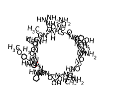 CCCC[C@H]1C(=O)N(C)[C@@H](CCCC)C(=O)NC(CCCNC(=N)N)C(=O)N[C@H](C(=O)NCC(N)=O)CSCC(=O)N[C@@H](Cc2ccc(O)cc2)C(=O)N(C)[C@@H](C)C(=O)N[C@@H](CC(N)=O)C(=O)N2CCCC2C(=O)N[C@@H](CCN)C(=O)N[C@@H](CC(C)C)C(=O)N2C[C@H](O)CC2C(=O)N[C@@H](Cc2c[nH]c3ccccc23)C(=O)N[C@@H](CO)C(=O)N[C@@H](Cc2c(-c3ccc(OCC)cc3)[nH]c3ccccc23)C(=O)N1C